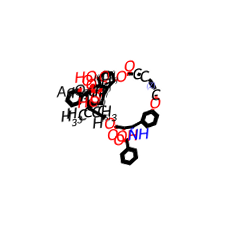 CC(=O)O[C@H]1C(=O)[C@@]2(C)[C@@H]3[C@H](OC(=O)c4ccccc4)[C@]4(O)C[C@H](OC(=O)C(O)C(NC(=O)c5ccccc5)c5cccc(c5)OC/C=C\CCC(=O)O[C@]35CO[C@@H]5C[C@@H]2O)C(C)=C1C4(C)C